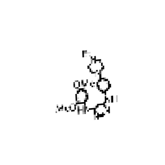 CCN1CCN(c2ccc(Nc3cc(Nc4ccc(OC)cc4OC)ncn3)cc2)CC1